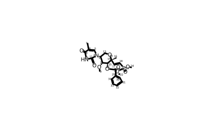 CO[C@H]1[C@H](n2cc(C)c(=O)[nH]c2=O)CO[C@](C)(/C=C/P(=O)(OC)OC)[C@H]1OC(=O)c1ccccc1